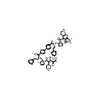 CN[C@@H](C)C(=O)N[C@H](C(=O)N1CC[C@H](C)[C@H]1CN(CCc1ccccc1)C(=O)c1ccc(-c2ccc(C(=O)N(CCc3ccccc3)C[C@@H]3[C@@H](C)CCN3C(=O)[C@@H](NC(=O)[C@H](C)NC)C3CCOCC3)cc2)cc1)C1CCOCC1